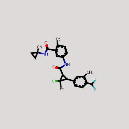 CCc1ccc(NC(=O)C2C(c3ccc(C(F)F)c(C)c3)C2(Cl)CC)cc1C(=O)NC1(C#N)CC1